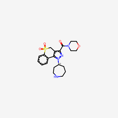 O=C(c1nn([C@H]2CCCNCC2)c2c1CS(=O)(=O)c1ccccc1-2)N1CCOCC1